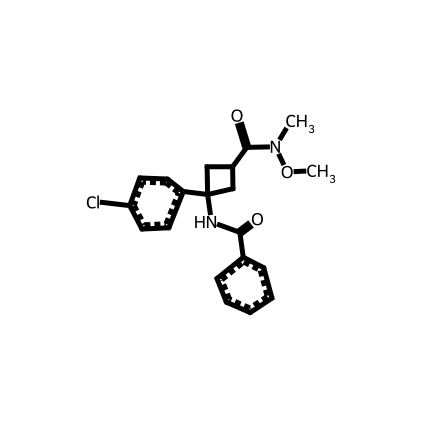 CON(C)C(=O)C1CC(NC(=O)c2ccccc2)(c2ccc(Cl)cc2)C1